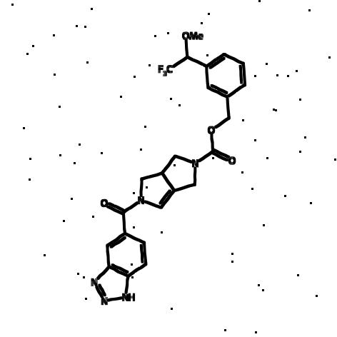 COC(c1cccc(COC(=O)N2CC3=CN(C(=O)c4ccc5[nH]nnc5c4)CC3C2)c1)C(F)(F)F